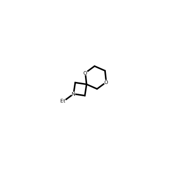 CCN1CC2(COCCO2)C1